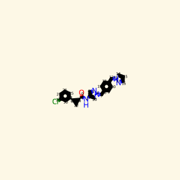 O=C(Nc1cnn(Cc2ccc(Cn3cccn3)cc2)c1)[C@H]1C[C@@H]1c1cccc(Cl)c1